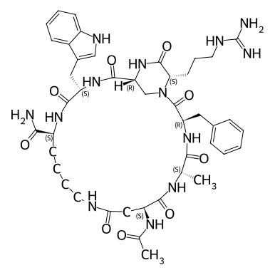 CC(=O)N[C@H]1CC(=O)NCCCC[C@@H](C(N)=O)NC(=O)[C@H](Cc2c[nH]c3ccccc23)NC(=O)[C@H]2CN(C(=O)[C@@H](Cc3ccccc3)NC(=O)[C@H](C)NC1=O)[C@@H](CCCNC(=N)N)C(=O)N2